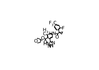 Cc1cc(NC(=O)C2(c3ccc(C(F)(F)F)cc3F)CC2)cc(-c2nnn[nH]2)c1C(=O)O[C@H]1CCOC1